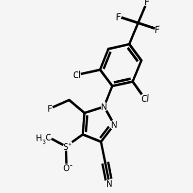 C[S+]([O-])c1c(C#N)nn(-c2c(Cl)cc(C(F)(F)F)cc2Cl)c1CF